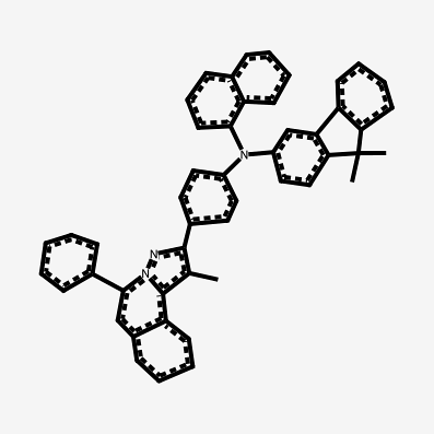 Cc1c(-c2ccc(N(c3ccc4c(c3)-c3ccccc3C4(C)C)c3cccc4ccccc34)cc2)nn2c(-c3ccccc3)cc3ccccc3c12